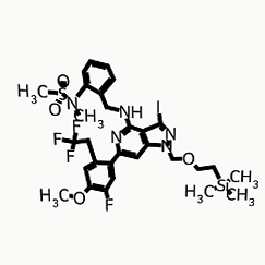 COc1cc(CC(F)(F)F)c(-c2cc3c(c(I)nn3COCC[Si](C)(C)C)c(NCc3ccccc3N(C)S(C)(=O)=O)n2)cc1F